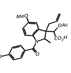 C=CCC1(C(OC(C)=O)C(=O)O)c2cc(OC)ccc2N(C(=O)c2ccc(Cl)cc2)C1C